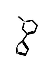 CN1CCC=C(c2ccno2)C1